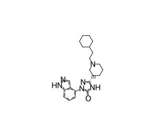 O=c1[nH]c([C@H]2CCCN(CCC3CCCCC3)C2)nn1-c1cccc2[nH]ncc12